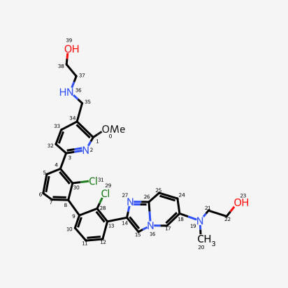 COc1nc(-c2cccc(-c3cccc(-c4cn5cc(N(C)CCO)ccc5n4)c3Cl)c2Cl)ccc1CNCCO